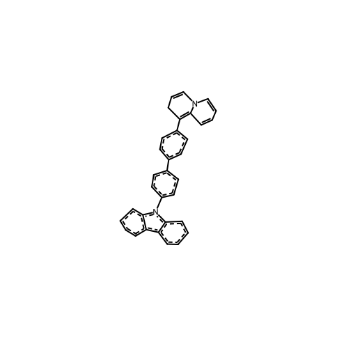 C1=CC2=C(c3ccc(-c4ccc(-n5c6ccccc6c6ccccc65)cc4)cc3)CC=CN2C=C1